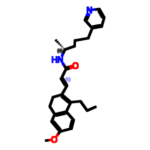 CCCC1=C(/C=C/C(=O)N[C@H](C)CCCc2cccnc2)CCc2cc(OC)ccc21